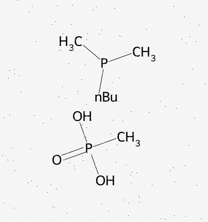 CCCCP(C)C.CP(=O)(O)O